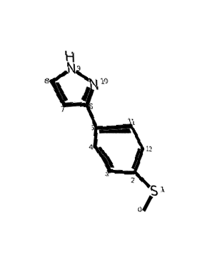 CSc1ccc(-c2cc[nH]n2)cc1